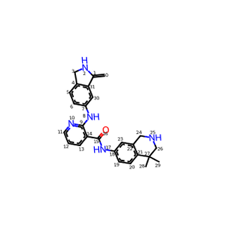 C=C1NCc2ccc(Nc3ncccc3C(=O)Nc3ccc4c(c3)CNCC4(C)C)cc21